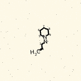 C=CC[N]N1CCCCC1